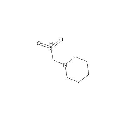 O=[SH](=O)CN1CCCCC1